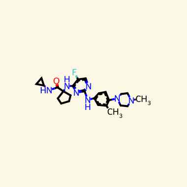 Cc1cc(Nc2ncc(F)c(NC3(C(=O)NC4CC4)CCCC3)n2)ccc1N1CCN(C)CC1